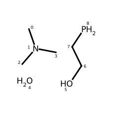 CN(C)C.O.OCCP